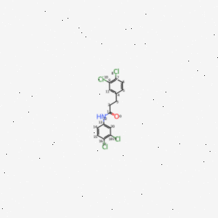 O=C(CCc1ccc(Cl)c(Cl)c1)Nc1ccc(Cl)c(Cl)c1